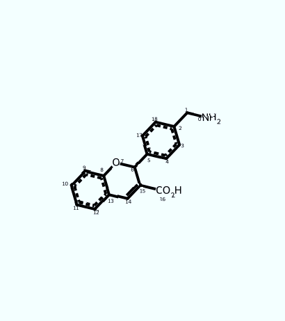 NCc1ccc(C2Oc3ccccc3C=C2C(=O)O)cc1